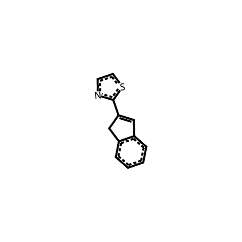 C1=C(c2nccs2)Cc2ccccc21